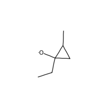 CCC1([O])CC1C